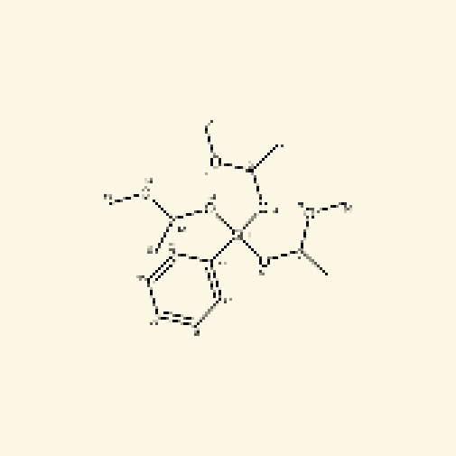 COC(C)O[Si](OC(C)OC)(OC(C)OC)c1ccccc1